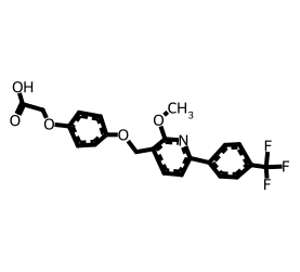 COc1nc(-c2ccc(C(F)(F)F)cc2)ccc1COc1ccc(OCC(=O)O)cc1